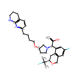 C=C(O)[C@@H](c1cc(F)cc2c1CC(C(C)(C)F)OC2)N1CC[C@@H](OCCCCc2ccc3c(n2)NCCC3)C1